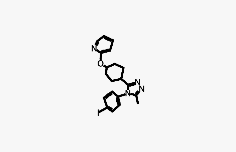 Cc1nnc(C2CCC(Oc3ccccn3)CC2)n1-c1ccc(I)cc1